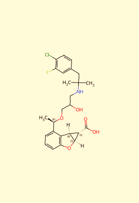 C[C@@H](OCC(O)CNC(C)(C)Cc1ccc(Cl)c(F)c1)c1cccc2c1[C@@H]1[C@H](O2)[C@H]1C(=O)O